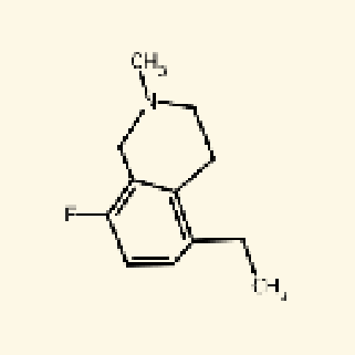 CCc1ccc(F)c2c1CCN(C)C2